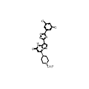 O=C(O)N1CCC(c2cc(=O)[nH]c3c(-c4noc(-c5cc(Cl)cc(Cl)c5)n4)cnn23)CC1